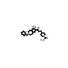 CC(=O)N1CCC(CCC(=O)c2ccc3c(c2)CCN(Cc2ccccc2)CC3)CC1.Cl